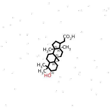 CC1(C)C2CCC3[C@]4(CC[C@]5(C)C(CC(=O)O)CC[C@@]35C)C[C@]24CC[C@@H]1O